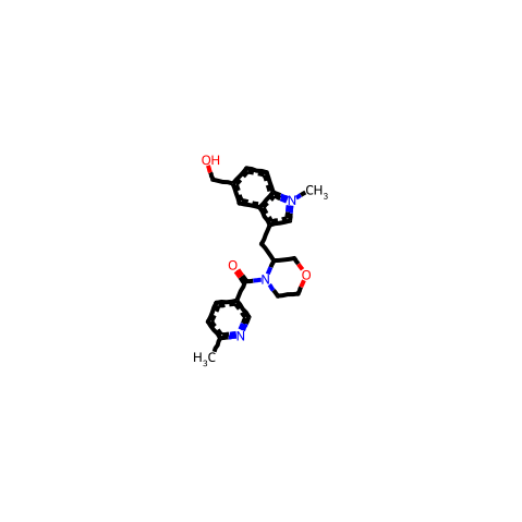 Cc1ccc(C(=O)N2CCOCC2Cc2cn(C)c3ccc(CO)cc23)cn1